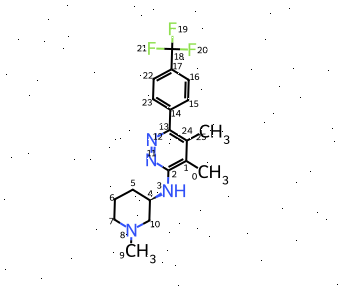 Cc1c(N[C@@H]2CCCN(C)C2)nnc(-c2ccc(C(F)(F)F)cc2)c1C